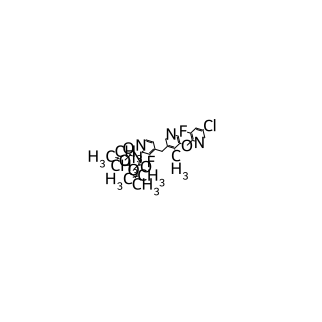 Cc1c(Cc2ccnc(N(C(=O)OC(C)(C)C)C(=O)OC(C)(C)C)c2F)cncc1Oc1ncc(Cl)cc1F